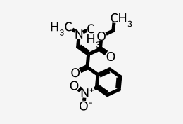 CCOC(=O)C(=CN(C)C)C(=O)c1ccccc1[N+](=O)[O-]